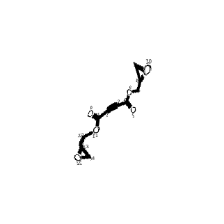 O=C(C#CC(=O)OCC1CO1)OCC1CO1